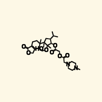 CC(C)C1CC2(CO)C3(C)CCC4=C(COC4=O)C3COC2(C)C1OC(=O)COC(=O)CN1CCN(C)CC1